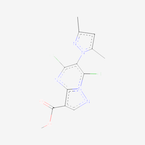 COC(=O)c1cnn2c(Cl)c(-n3nc(C)cc3C)c(Cl)nc12